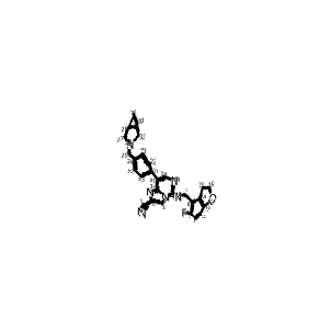 N#Cc1cn2c(NCc3c(F)ccc4c3CCO4)ncc(-c3ccc(CN4CC5CC5C4)cc3)c2n1